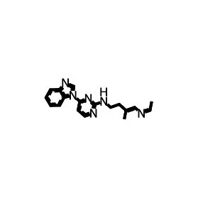 C/C=N\C=C(/C)CCNc1nccc(-n2cnc3ccccc32)n1